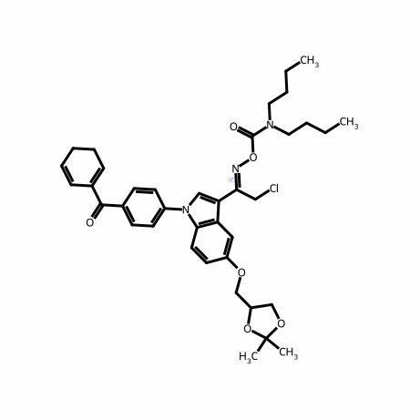 CCCCN(CCCC)C(=O)O/N=C(\CCl)c1cn(-c2ccc(C(=O)C3=CCCC=C3)cc2)c2ccc(OCC3COC(C)(C)O3)cc12